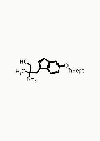 CCCCCCCOc1ccc2c(c1)C=CC2CC(C)(N)CO